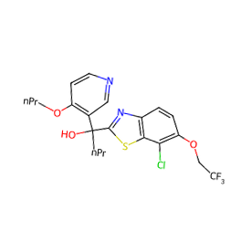 CCCOc1ccncc1C(O)(CCC)c1nc2ccc(OCC(F)(F)F)c(Cl)c2s1